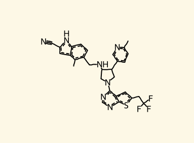 Cc1ccc(C2CN(c3ncnc4sc(CC(F)(F)F)cc34)CC2NCc2ccc3[nH]c(C#N)cc3c2C)cn1